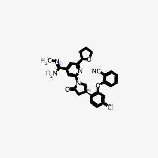 C/N=C(\N)c1cc(C2CCCO2)nc(N2C[C@@H](c3ccc(Cl)cc3Oc3ccccc3C#N)CC2=O)c1